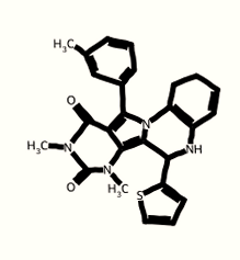 Cc1cccc(-c2c3c(=O)n(C)c(=O)n(C)c3c3n2C2=C(C=CCC2)NC3c2cccs2)c1